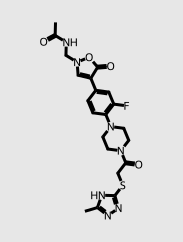 CC(=O)NCn1cc(-c2ccc(N3CCN(C(=O)CSc4nnc(C)[nH]4)CC3)c(F)c2)c(=O)o1